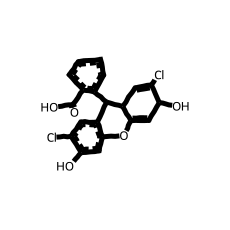 O=C(O)c1ccccc1C1c2cc(Cl)c(O)cc2OC2=CC(O)C(Cl)=CC21